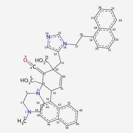 CN1CCN(C2(C(=O)O)C(=C=O)C(Cc3cncn3CCc3cccc4ccccc34)(C(=O)O)C=CC2c2cccc3ccccc23)CC1